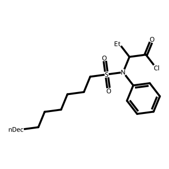 CCCCCCCCCCCCCCCCS(=O)(=O)N(c1ccccc1)C(CC)C(=O)Cl